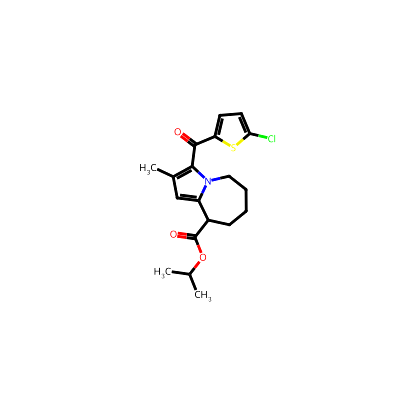 Cc1cc2n(c1C(=O)c1ccc(Cl)s1)CCCCC2C(=O)OC(C)C